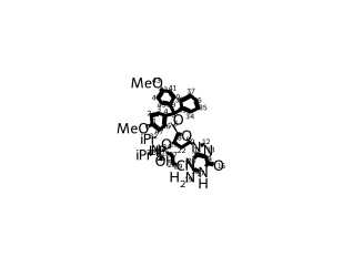 COc1ccc(C(OC[C@H]2O[C@@H](n3cnc4c(=O)[nH]c(N)nc43)C[C@@H]2O[PH](O)(CCC#N)N(C(C)C)C(C)C)(c2ccccc2)c2ccc(OC)cc2)cc1